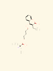 CCCC(C)(I)C(=O)OCCCCCOc1c(CC(C)C)c(=O)oc2ccccc12